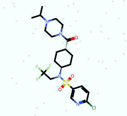 CC(C)N1CCN(C(=O)[C@H]2CC[C@H](N(CC(F)(F)F)S(=O)(=O)c3ccc(Cl)nc3)CC2)CC1